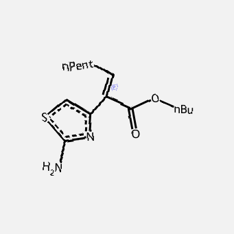 CCCCC/C=C(/C(=O)OCCCC)c1csc(N)n1